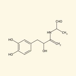 C=C(NC(C)C=O)C(O)Cc1ccc(O)c(O)c1